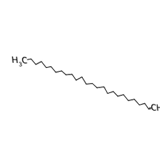 [CH]=CCCCCCCCCCCCCCCCCCCCCCCCC